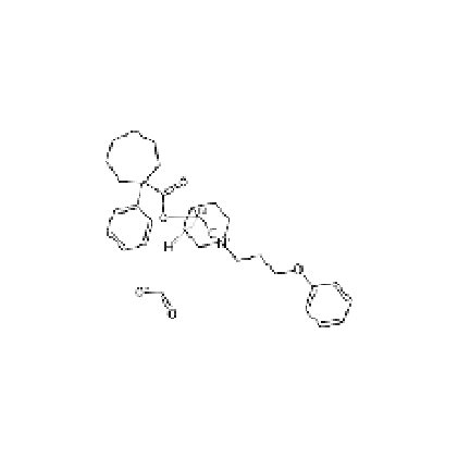 O=C(O[C@@H]1C[N+]2(CCCOc3ccccc3)CCC1CC2)C1(c2ccccc2)CCCCCC1.O=C[O-]